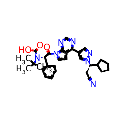 CC(C)(C)N(C(=O)O)[C@H](C(=O)n1ccc2c(-c3cnn([C@H](CC#N)C4CCCC4)c3)ncnc21)c1ccccc1